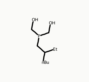 CCCCC(CC)CP(CO)CO